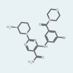 NC(=O)c1cnc(N2CCC[C@H](N)C2)nc1Nc1cc(Br)cc(C(=O)N2CCOCC2)c1